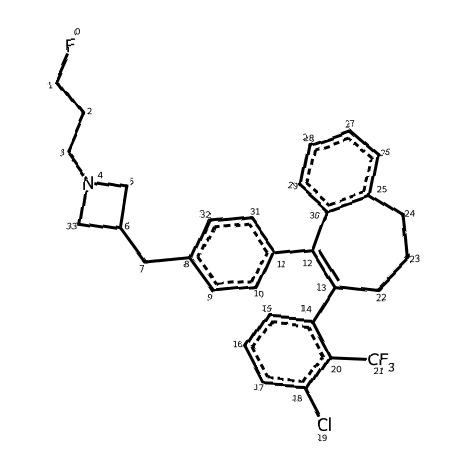 FCCCN1CC(Cc2ccc(C3=C(c4cccc(Cl)c4C(F)(F)F)CCCc4ccccc43)cc2)C1